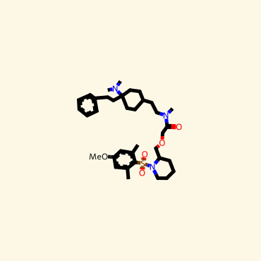 COc1cc(C)c(S(=O)(=O)N2CCCCC2COCC(=O)N(C)CCC2CCC(CCc3ccccc3)(N(C)C)CC2)c(C)c1